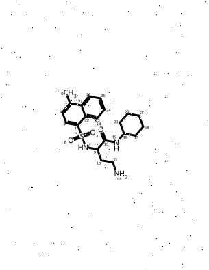 Cc1ccc(S(=O)(=O)NC(CCN)C(=O)NC2CCCCC2)c2ccccc12